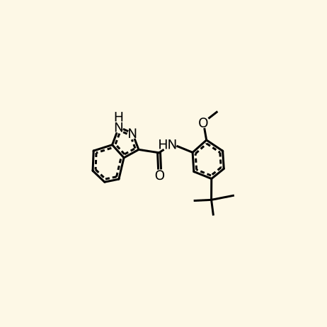 COc1ccc(C(C)(C)C)cc1NC(=O)c1n[nH]c2ccccc12